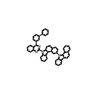 c1ccc(-c2cccc(-c3nc(-n4c5ccccc5c5c6cc(-n7c8ccccc8c8ccc9ccccc9c87)ccc6ccc54)nc4ccccc34)c2)cc1